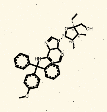 CC[C@@]1(CO)O[C@@H](N2C=NC3C(NC(c4ccccc4)(c4ccccc4)c4ccc(OC)cc4)=NC=NC32)[C@H](F)[C@@H]1C